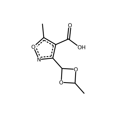 Cc1onc(C2OC(C)O2)c1C(=O)O